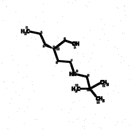 CCC[C@H](CO)CCNCC(C)(C)C